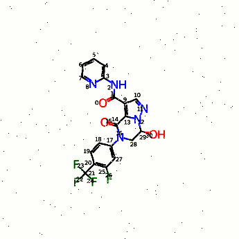 O=C(Nc1ccccn1)c1cnn2c1C(=O)N(c1ccc(C(F)(F)F)c(F)c1)C[C@@H]2O